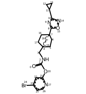 O=C(NCC12CCC(c3nc(C4CC4)no3)(CC1)CC2)Oc1cc(Br)ccn1